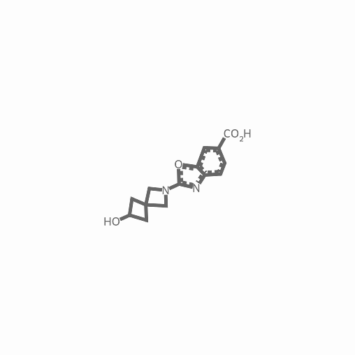 O=C(O)c1ccc2nc(N3CC4(CC(O)C4)C3)oc2c1